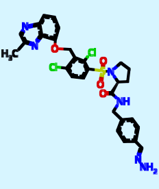 Cc1cnc2cccc(OCc3c(Cl)ccc(S(=O)(=O)N4CCC[C@H]4C(=O)NCc4ccc(C=NN)cc4)c3Cl)c2n1